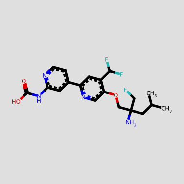 CC(C)CC(N)(CF)COc1cnc(-c2ccnc(NC(=O)O)c2)cc1C(F)F